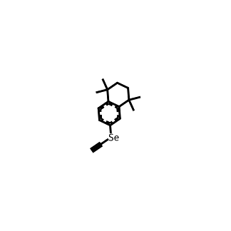 C#C[Se]c1ccc2c(c1)C(C)(C)CCC2(C)C